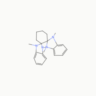 CN1c2ccccc2N(C)C12CCCCC21N(C)c2ccccc2N1C